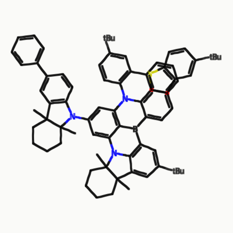 CC(C)(C)c1ccc(N2c3cc(N4c5ccc(-c6ccccc6)cc5C5(C)CCCCC45C)cc4c3B(c3cc(C(C)(C)C)cc5c3N4C3(C)CCCCC53C)c3ccc4c(sc5ccc(C(C)(C)C)cc54)c32)c(-c2ccccc2)c1